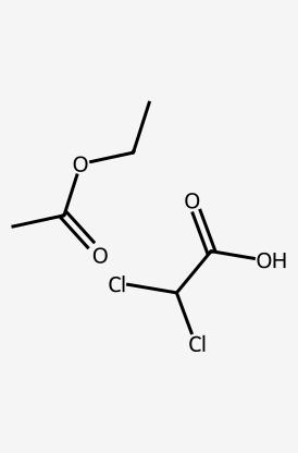 CCOC(C)=O.O=C(O)C(Cl)Cl